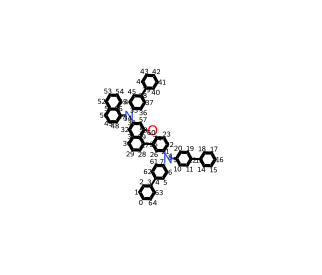 c1ccc(-c2ccc(N(c3ccc(-c4ccccc4)cc3)c3ccc4c(c3)-c3cccc5cc(N(c6ccc(-c7ccccc7)cc6)c6cccc7ccccc67)cc(c35)O4)cc2)cc1